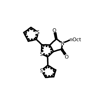 CCCCCCCCN1C(=O)c2c(-c3cccs3)sc(-c3cccs3)c2C1=O